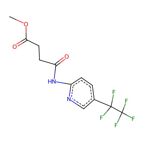 COC(=O)CCC(=O)Nc1ccc(C(F)(F)C(F)(F)F)cn1